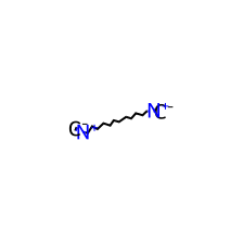 [C-]#[N+]CCCCCCCCCCCC[N+]#[C-]